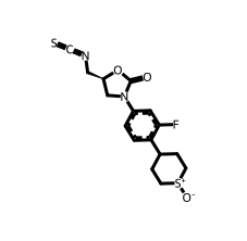 O=C1O[C@H](CN=C=S)CN1c1ccc(C2CC[S+]([O-])CC2)c(F)c1